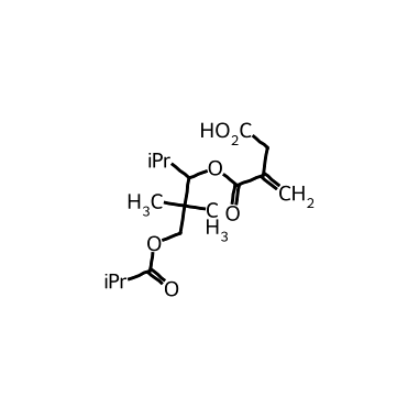 C=C(CC(=O)O)C(=O)OC(C(C)C)C(C)(C)COC(=O)C(C)C